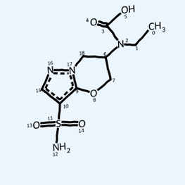 CCN(C(=O)O)C1COc2c(S(N)(=O)=O)cnn2C1